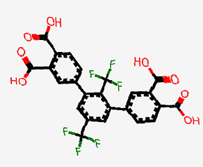 O=C(O)c1ccc(-c2cc(C(F)(F)F)cc(-c3ccc(C(=O)O)c(C(=O)O)c3)c2C(F)(F)F)cc1C(=O)O